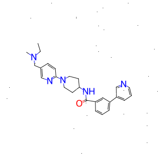 CCN(C)Cc1ccc(N2CCC(NC(=O)c3cccc(-c4cccnc4)c3)CC2)nc1